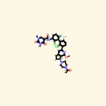 COc1nc(-c2ccc(F)c(-c3c(F)ccc(NC(=O)c4cn(C)c(=O)n(C)c4=O)c3Cl)c2Cl)cc2c1[C@@H](N1CCN(C(C)=O)CC1)CC2